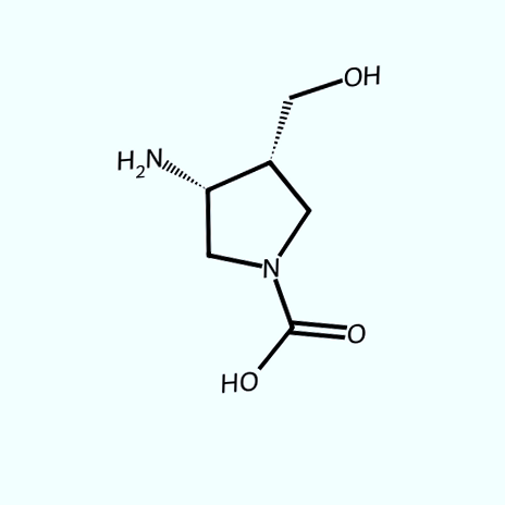 N[C@H]1CN(C(=O)O)C[C@H]1CO